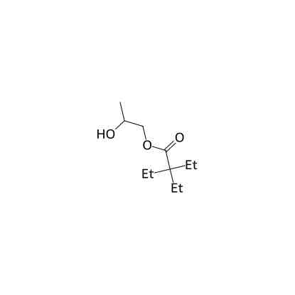 CCC(CC)(CC)C(=O)OCC(C)O